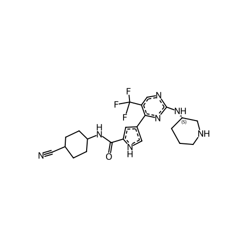 N#CC1CCC(NC(=O)c2cc(-c3nc(N[C@H]4CCCNC4)ncc3C(F)(F)F)c[nH]2)CC1